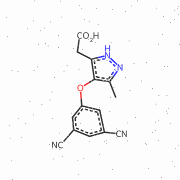 Cc1n[nH]c(CC(=O)O)c1Oc1cc(C#N)cc(C#N)c1